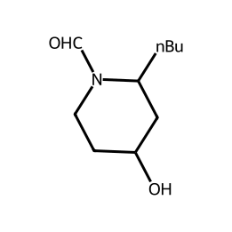 CCCCC1CC(O)CCN1C=O